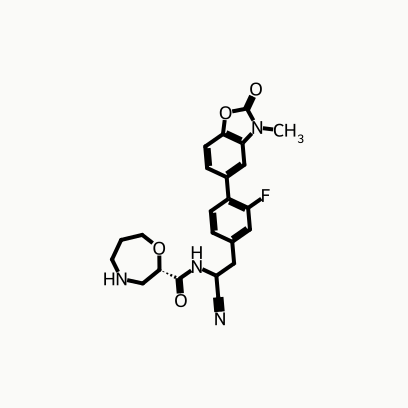 Cn1c(=O)oc2ccc(-c3ccc(CC(C#N)NC(=O)[C@@H]4CNCCCO4)cc3F)cc21